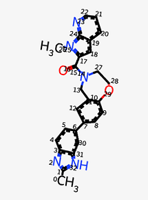 Cc1nc2ccc(-c3ccc4c(c3)CN(C(=O)c3cc5cccnc5n3C)CCO4)cc2[nH]1